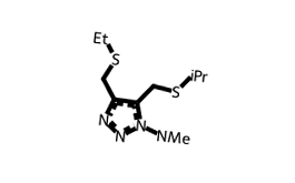 CCSCc1nnn(NC)c1CSC(C)C